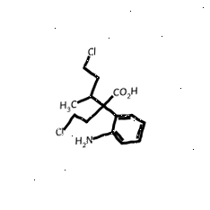 CC(CCCl)C(CCCl)(C(=O)O)c1ccccc1N